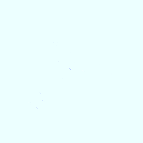 [2H]c1c([2H])c(C([2H])([2H])n2c(OCC)nc3c(C(C)OC(=O)OC4CCCCC4)ccc(OC(=O)O)c32)c([2H])c([2H])c1-c1ccccc1-c1nnn[nH]1